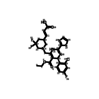 CCOC(=O)C1=C(CN2CC(/C=C/C(=O)O)CC(F)(F)C2)NC(c2nccs2)=N[C@H]1c1ccc(F)cc1Cl